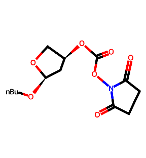 CCCCO[C@@H]1C[C@H](OC(=O)ON2C(=O)CCC2=O)CO1